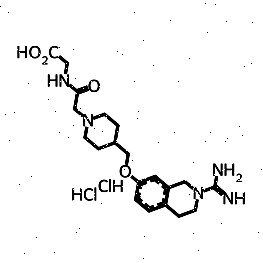 Cl.Cl.N=C(N)N1CCc2ccc(OCC3CCN(CC(=O)NCC(=O)O)CC3)cc2C1